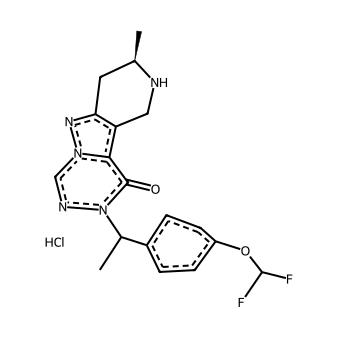 CC(c1ccc(OC(F)F)cc1)n1ncn2nc3c(c2c1=O)CN[C@H](C)C3.Cl